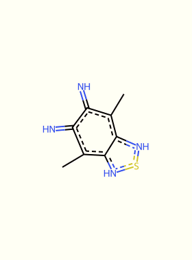 Cc1c2[nH]s[nH]c-2c(C)c(=N)c1=N